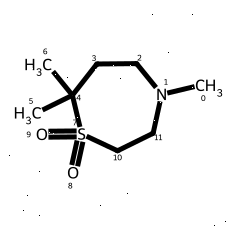 CN1CCC(C)(C)S(=O)(=O)CC1